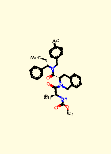 COC[C@@H](c1ccccc1)N(Cc1ccc(C(C)=O)cc1)C(=O)[C@@H]1Cc2ccccc2CN1C(=O)[C@@H](NC(=O)OC(C)(C)C)C(C)(C)C